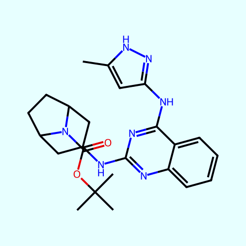 Cc1cc(Nc2nc(NC3CC4CCC(C3)N4C(=O)OC(C)(C)C)nc3ccccc23)n[nH]1